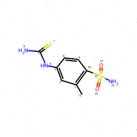 Cc1cc(NC(N)=S)ccc1S(N)(=O)=O